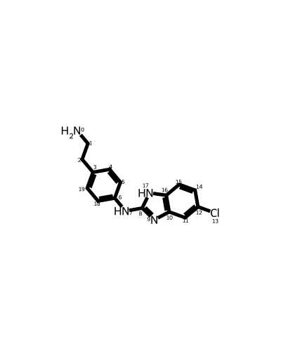 NCCc1ccc(Nc2nc3cc(Cl)ccc3[nH]2)cc1